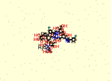 CCC[C@H](OC1C(NC(C)=O)[C@H](O[C@@H]2CC(C(=O)NCCNC(=O)C3CC(n4cc(-c5cccc(F)c5)nn4)C(O)[C@H](O[C@@H]4OC(CO)[C@H](O)C(n5cc(-c6cccc(F)c6)nn5)C4O)C3)CC(CC)C2O[C@@H]2OC(C)[C@@H](O)C(O)C2O)OC(CO)[C@@H]1O)C(=O)O